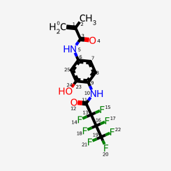 C=C(C)C(=O)Nc1ccc(NC(=O)C(F)(F)C(F)(F)C(F)(F)F)c(O)c1